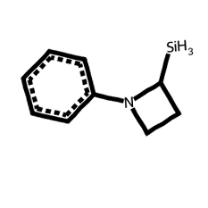 [SiH3]C1CCN1c1ccccc1